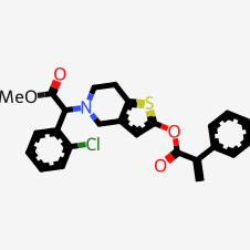 C=C(C(=O)Oc1cc2c(s1)CCN(C(C(=O)OC)c1ccccc1Cl)C2)c1ccccc1